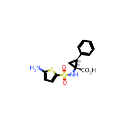 Nc1ccc(S(=O)(=O)N[C@]2(C(=O)O)C[C@H]2c2ccccc2)s1